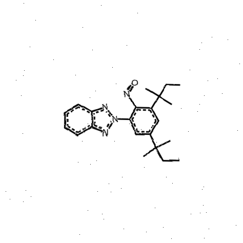 CCC(C)(C)c1cc(-n2nc3ccccc3n2)c(N=O)c(C(C)(C)CC)c1